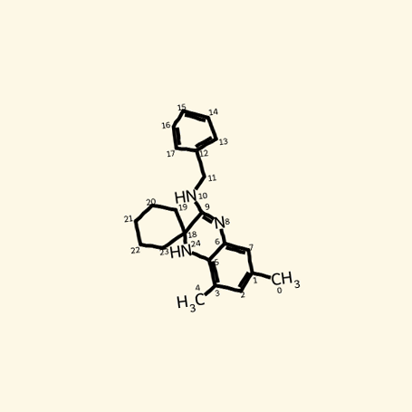 Cc1cc(C)c2c(c1)N=C(NCc1ccccc1)C1(CCCCC1)N2